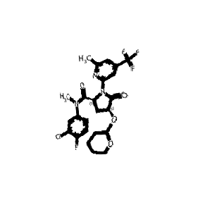 Cc1cc(C(F)(F)F)cc(N2C(=O)[C@@H](OC3CCCCO3)C[C@H]2C(=O)N(C)c2ccc(F)c(Cl)c2)n1